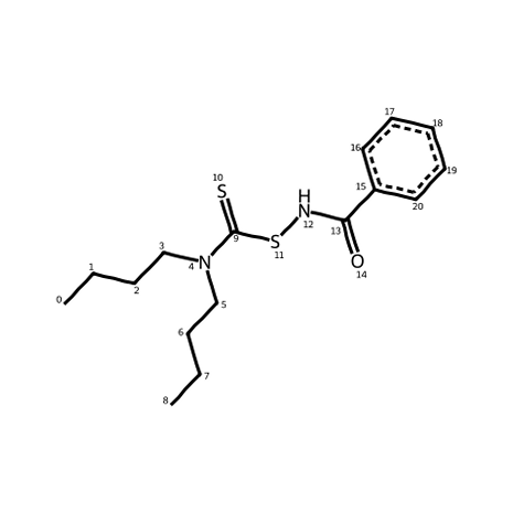 CCCCN(CCCC)C(=S)SNC(=O)c1ccccc1